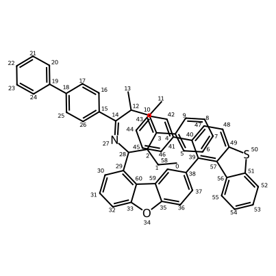 CCC1C(c2ccccc2)=C(C)C(C)C(c2ccc(-c3ccccc3)cc2)=NC1c1cccc2oc3ccc(-c4c(-c5ccccc5)ccc5sc6ccccc6c45)cc3c12